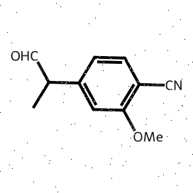 COc1cc(C(C)C=O)ccc1C#N